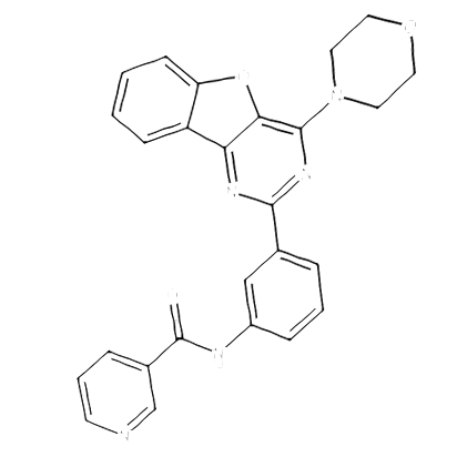 O=C(Nc1cccc(-c2nc(N3CCOCC3)c3oc4ccccc4c3n2)c1)c1cccnc1